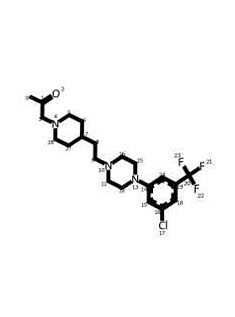 CC(=O)CN1CCC(CCN2CCN(c3cc(Cl)cc(C(F)(F)F)c3)CC2)CC1